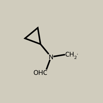 [CH2]N(C=O)C1CC1